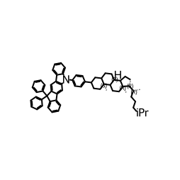 CC(C)CCC[C@@H](C)[C@H]1CCC2[C@@H]3CCC4CC(c5ccc(-n6c7ccccc7c7cc8c(cc76)-c6ccccc6C8(c6ccccc6)c6ccccc6)cc5)CC[C@]4(C)C3CC[C@@]21C